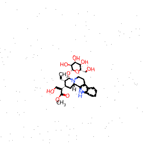 C=C[C@H]1[C@@H](/C(=C/O)C(=O)OC)C[C@H]2c3[nH]c4ccccc4c3CCN2[C@H]1O[C@H]1O[C@@H](CO)[C@H](O)[C@@H](O)[C@@H]1O